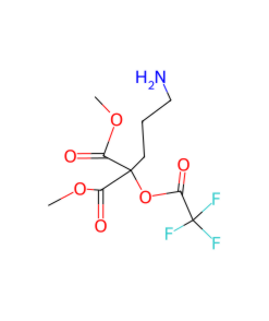 COC(=O)C(CCCN)(OC(=O)C(F)(F)F)C(=O)OC